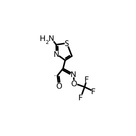 Nc1nc(/C([C]=O)=N/OC(F)(F)F)cs1